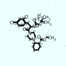 CCOC(=O)[C@H]1CCCC[C@@H]1N1CCN(C(=O)C(Cc2ccc(Cl)cc2Cl)NC(=O)OC(C)(C)C)CC1